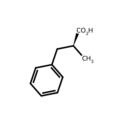 C[C@@H](Cc1ccccc1)C(=O)O